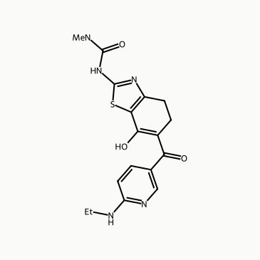 CCNc1ccc(C(=O)C2=C(O)c3sc(NC(=O)NC)nc3CC2)cn1